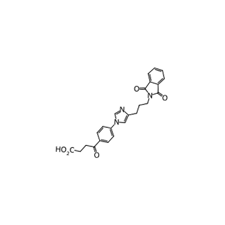 O=C(O)CCC(=O)c1ccc(-n2cnc(CCCN3C(=O)c4ccccc4C3=O)c2)cc1